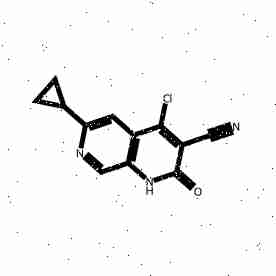 N#Cc1c(Cl)c2cc(C3CC3)ncc2[nH]c1=O